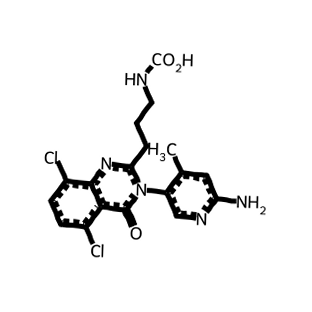 Cc1cc(N)ncc1-n1c(CCCNC(=O)O)nc2c(Cl)ccc(Cl)c2c1=O